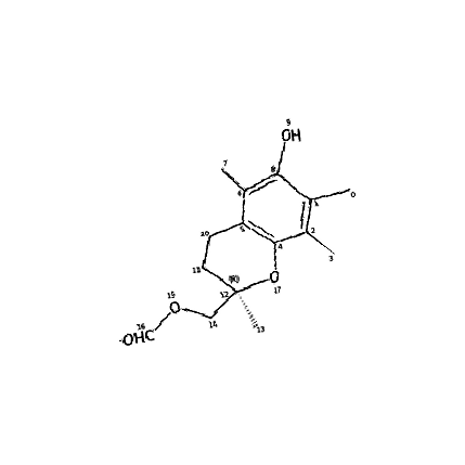 Cc1c(C)c2c(c(C)c1O)CC[C@](C)(CO[C]=O)O2